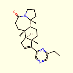 CCc1cncc(C2=CC[C@H]3[C@@H]4CCC(=O)N5CCC[C@]5(C)C4CC[C@]23C)n1